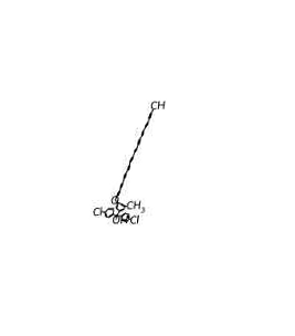 C#CC#CC#CC#CC#CC#CC#CC#CC#CC#CC#COc1cc(C)cc(C(O)(c2ccc(Cl)cc2)c2ccc(Cl)cc2)c1